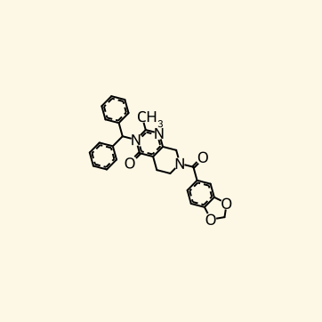 Cc1nc2c(c(=O)n1C(c1ccccc1)c1ccccc1)CCN(C(=O)c1ccc3c(c1)OCO3)C2